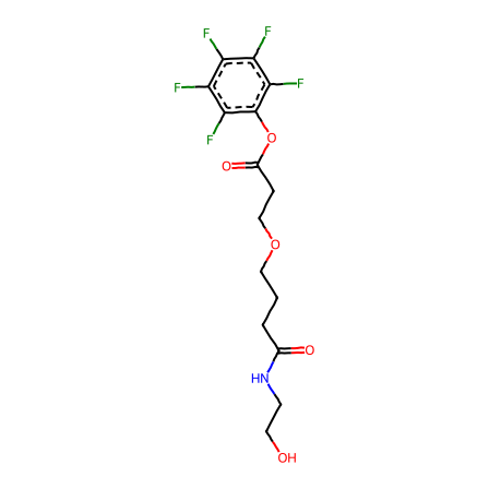 O=C(CCCOCCC(=O)Oc1c(F)c(F)c(F)c(F)c1F)NCCO